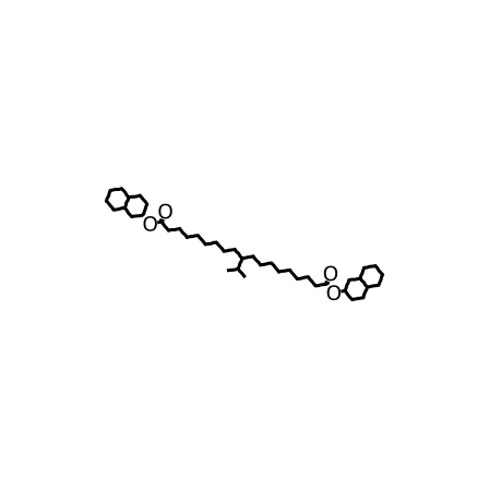 CC(C)C(CCCCCCCCC(=O)OC1CCC2CCCCC2C1)CCCCCCCCC(=O)OC1CCC2CCCCC2C1